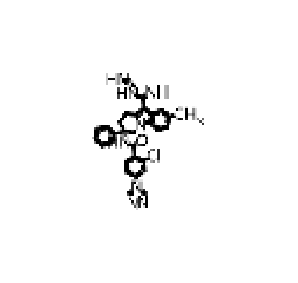 Cc1ccc2c(c1)c(C(=N)NN=N)c1n2C[C@@](NC(=O)c2ccc(-n3cnnc3)cc2Cl)(c2ccccc2)CC1